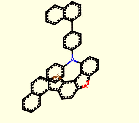 c1ccc(N(c2ccc(-c3cccc4ccccc34)cc2)c2cccc3oc4ccc5c(sc6ccc7ccccc7c65)c4c23)cc1